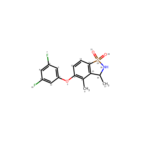 Cc1c(Oc2cc(F)cc(F)c2)ccc2c1C(C)NS2(=O)=O